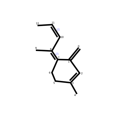 C=C1C=C(C)CC/C1=C(C)/C=C\C